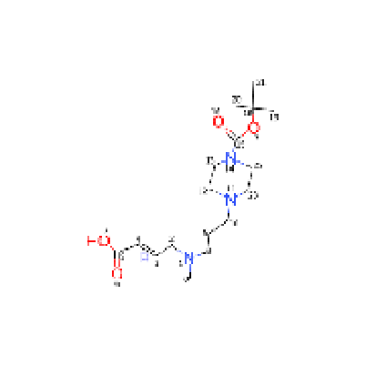 CN(C/C=C/C(=O)O)CCCN1CCN(C(=O)OC(C)(C)C)CC1